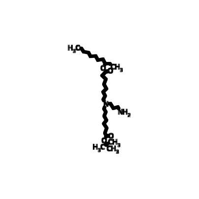 CCCCCCCCC(CC)OC(=O)CCCCCCCN(CCCN)CCCCCCCC(=O)OC(C)(C)C